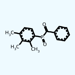 Cc1ccc([P](=O)C(=O)c2ccccc2)c(C)c1C